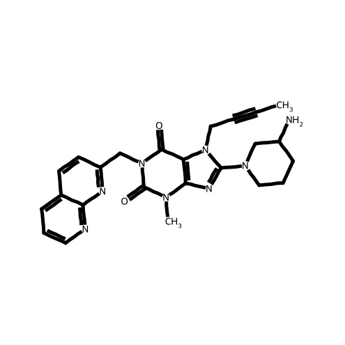 CC#CCn1c(N2CCCC(N)C2)nc2c1c(=O)n(Cc1ccc3cccnc3n1)c(=O)n2C